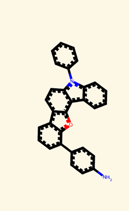 Nc1ccc(-c2cccc3c2oc2c3ccc3c2c2ccccc2n3-c2ccccc2)cc1